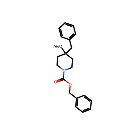 COC1(Cc2ccccc2)CCN(C(=O)OCc2ccccc2)CC1